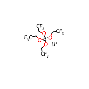 FC(F)(F)CO[B-](OCC(F)(F)F)(OCC(F)(F)F)OCC(F)(F)F.[Li+]